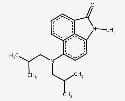 CC(C)CN(CC(C)C)c1ccc2c3c(cccc13)C(=O)N2C